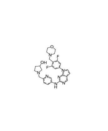 OC1CCN(Cc2ccc(Nc3ncc4ccn(-c5cc(F)c(CN6CCOCC6)c(F)c5)c4n3)cn2)C1